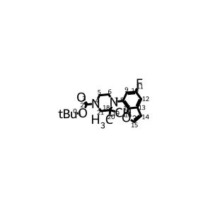 CC(C)(C)OC(=O)N1CCN(c2cc(F)cc3ccoc23)C(C)(C)C1